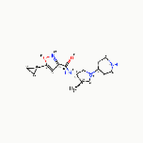 C[C@@H]1CN(C2CCNCC2)C[C@H]1NC(=O)c1cc(C2CC2)on1